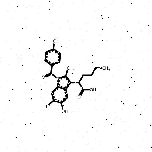 CCCCC(C(=O)O)c1c(C)n(C(=O)c2ccc(Cl)cc2)c2cc(F)c(O)cc12